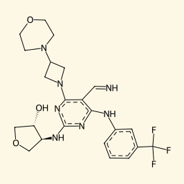 N=Cc1c(Nc2cccc(C(F)(F)F)c2)nc(N[C@H]2COC[C@@H]2O)nc1N1CC(N2CCOCC2)C1